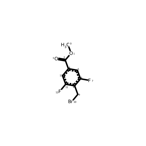 COC(=O)c1cc(F)c(CBr)c(F)c1